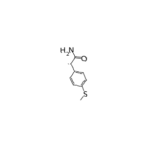 CSc1ccc([CH]C(N)=O)cc1